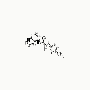 O=C(NCc1ccc(C(F)(F)F)cc1)Nc1cccc2nnccc12